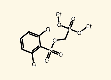 CCOP(=O)(COS(=O)(=O)c1c(Cl)cccc1Cl)OCC